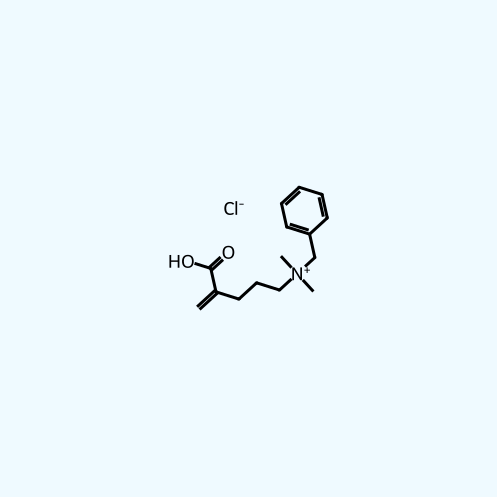 C=C(CCC[N+](C)(C)Cc1ccccc1)C(=O)O.[Cl-]